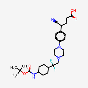 CC(C)(C)OC(=O)NC1CCC(C(F)(F)CN2CCN(c3ccc(C(C#N)CCC(=O)O)cc3)CC2)CC1